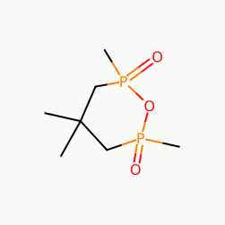 CC1(C)CP(C)(=O)OP(C)(=O)C1